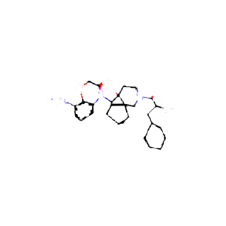 CC(CC1CCCCC1)C(=O)N1CCC(O)(CN2C(=O)COc3c(N)cccc32)C2(CCCC2)C1